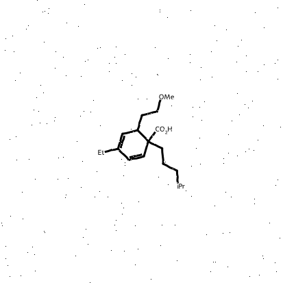 CCC1=CC(CCOC)C(CCCC(C)C)(C(=O)O)C=C1